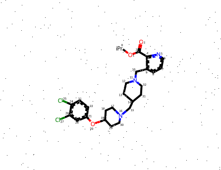 CC(C)OC(=O)c1ncccc1CN1CCC(CN2CCC(Oc3ccc(Cl)c(Cl)c3)CC2)CC1